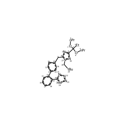 CCCOC(CC)(OCCC)c1nc(Cc2ccc(-c3ccccc3-c3nnn[nH]3)cc2)n(CC(C)(C)C)n1